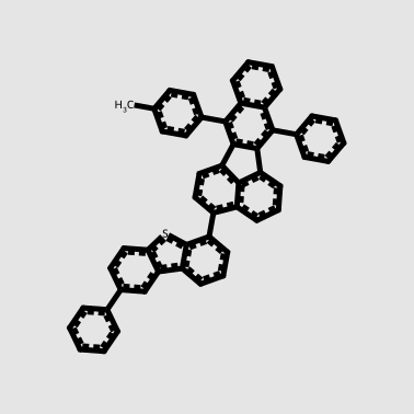 Cc1ccc(-c2c3c(c(-c4ccccc4)c4ccccc24)-c2cccc4c(-c5cccc6c5sc5ccc(-c7ccccc7)cc56)ccc-3c24)cc1